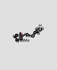 C=CC(=O)Nc1cc(Nc2nccc(-c3cn(C)c4ccccc34)n2)c(OC)cc1N(C)CCN1CCC(CN[C@H]2CCCN(c3ccc4c(c3)C(=O)N(C3CCC(=O)NC3=O)C4=O)C2)CC1